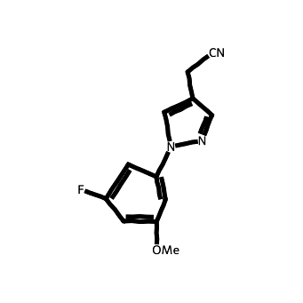 COc1cc(F)cc(-n2cc(CC#N)cn2)c1